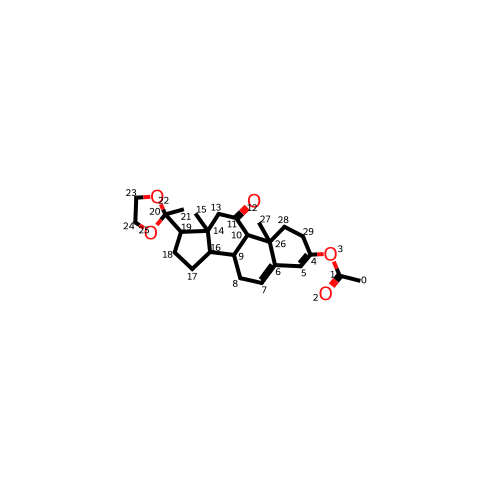 CC(=O)OC1=CC2=CCC3C(C(=O)CC4(C)C3CCC4C3(C)OCCO3)C2(C)CC1